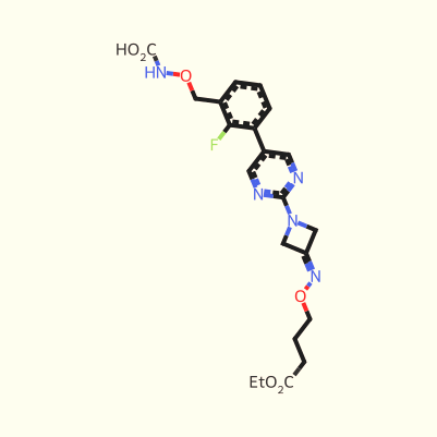 CCOC(=O)CCCON=C1CN(c2ncc(-c3cccc(CONC(=O)O)c3F)cn2)C1